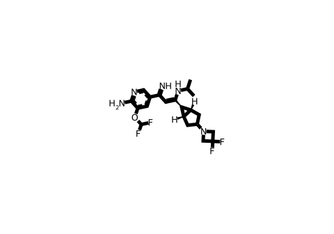 CC(C)N/C(=C\C(=N)c1cnc(N)c(OC(F)F)c1)[C@H]1[C@@H]2CC(N3CC(F)(F)C3)C[C@@H]21